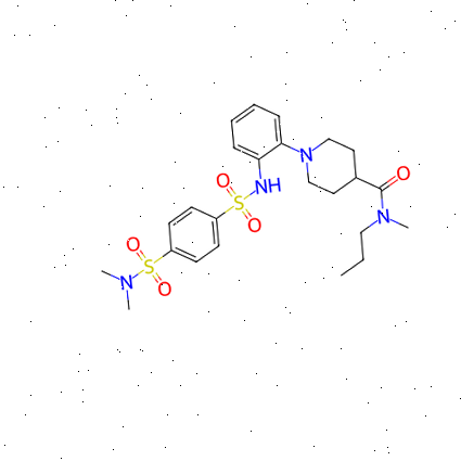 CCCN(C)C(=O)C1CCN(c2ccccc2NS(=O)(=O)c2ccc(S(=O)(=O)N(C)C)cc2)CC1